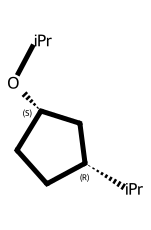 CC(C)O[C@H]1CC[C@@H](C(C)C)C1